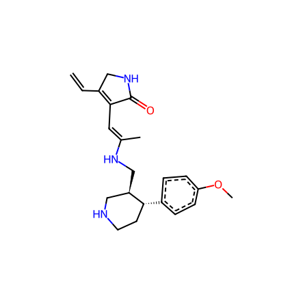 C=CC1=C(/C=C(\C)NC[C@@H]2CNCC[C@H]2c2ccc(OC)cc2)C(=O)NC1